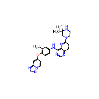 Cc1cc(Nc2ncnc3ccc(N4CCNC(C)(C)C4)nc23)ccc1Oc1ccn2ncnc2c1